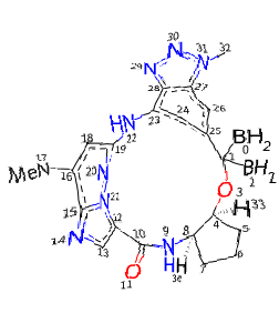 BC1(B)O[C@H]2CCC[C@H]2NC(=O)c2cnc3c(NC)cc(nn23)Nc2cc1cc1c2nnn1C